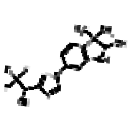 CC1(C)c2ccc(-n3cnc(C(O)C(F)(F)F)c3)cc2NC1O